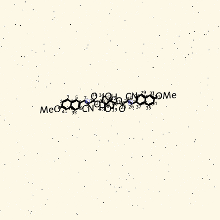 COc1ccc2cc(/C=C(\C#N)C(=O)O[C@H]3CO[C@H]4[C@@H]3OC[C@H]4OC(=O)/C(C#N)=C/c3ccc4cc(OC)ccc4c3)ccc2c1